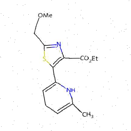 CCOC(=O)c1nc(COC)sc1C1=CCC=C(C)N1